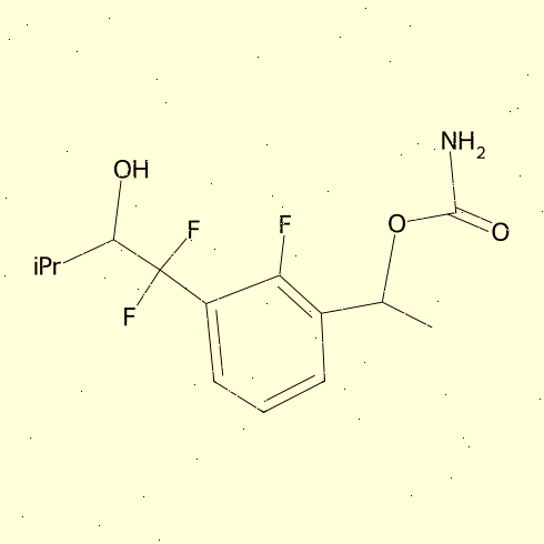 CC(OC(N)=O)c1cccc(C(F)(F)C(O)C(C)C)c1F